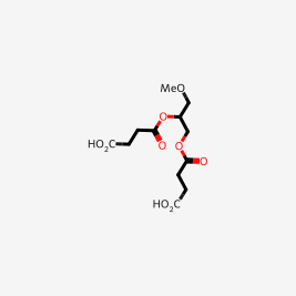 COCC(COC(=O)CCC(=O)O)OC(=O)CCC(=O)O